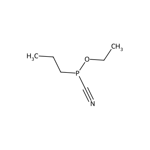 CCCP(C#N)OCC